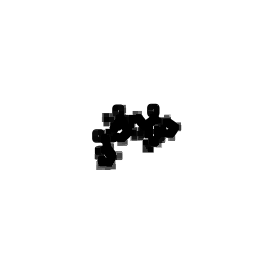 N#C[C@@H]1CCCN1C(=O)[C@@H](N)CN1C(=O)[C@@H]2C[C@H]1CN2C(=O)c1cccs1